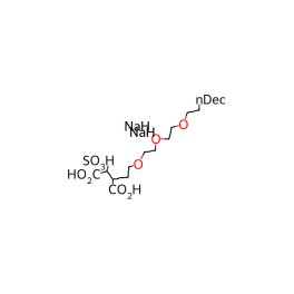 CCCCCCCCCCCCOCCOCCOCCC(C(=O)O)C(C(=O)O)S(=O)(=O)O.[NaH].[NaH]